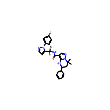 CCC(CC)(NC(=O)c1cnn2c1NC(c1ccccc1)CC2(C)C)c1ccnn1-c1ccc(F)cc1